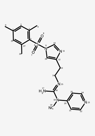 Cc1cc(C)c(S(=O)(=O)n2cnc(CC/N=C(\N)N(C#N)c3ccncc3)c2)c(C)c1